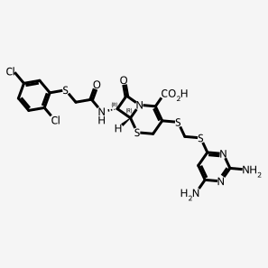 Nc1cc(SCSC2=C(C(=O)O)N3C(=O)[C@@H](NC(=O)CSc4cc(Cl)ccc4Cl)[C@H]3SC2)nc(N)n1